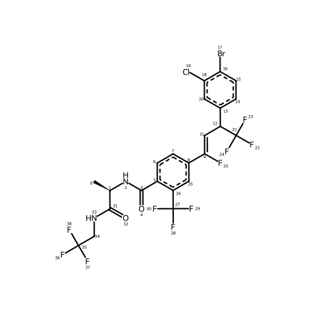 C[C@@H](NC(=O)c1ccc(/C(F)=C/C(c2ccc(Br)c(Cl)c2)C(F)(F)F)cc1C(F)(F)F)C(=O)NCC(F)(F)F